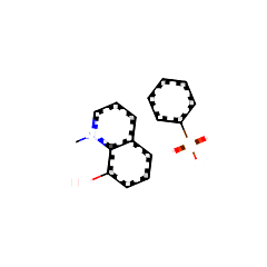 C[n+]1cccc2cccc(O)c21.O=S(=O)([O-])c1ccccc1